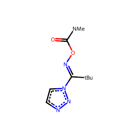 CNC(=O)ON=C(n1ccnn1)C(C)(C)C